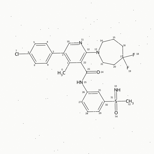 Cc1c(-c2ccc(Cl)cc2)cnc(N2CCCC(F)(F)CC2)c1C(=O)Nc1cccc(S(C)(=N)=O)c1